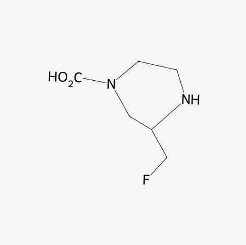 O=C(O)N1CCNC(CF)C1